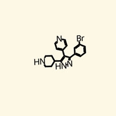 Brc1cccc(-c2n[nH]c(C3CCNCC3)c2-c2ccncc2)c1